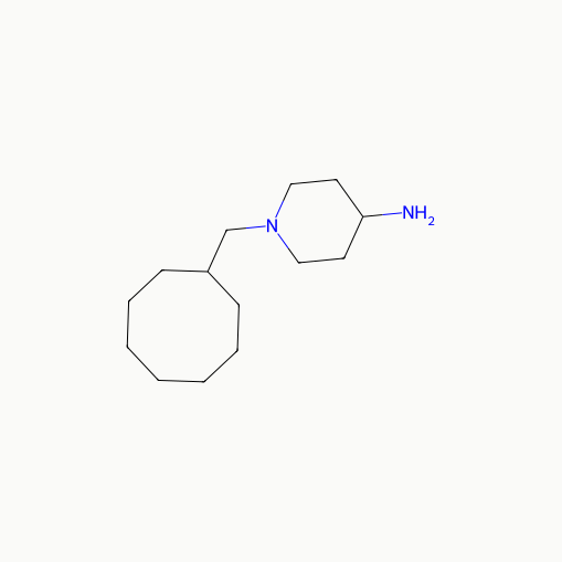 NC1CCN(CC2CCCCCCC2)CC1